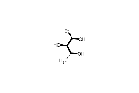 CC[C@@H](O)[C@H](O)[C@@H](C)O